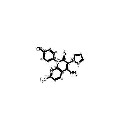 Nc1c(-n2cccn2)c(=O)n(-c2ccc(Cl)cc2)c2nc(C(F)(F)F)ccc12